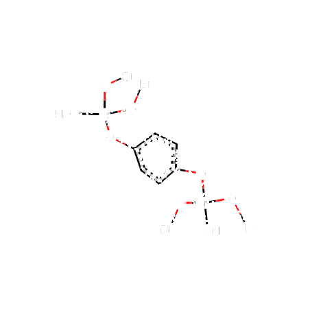 CCO[Si](C)(OCC)Oc1ccc(O[Si](C)(OCC)OCC)cc1